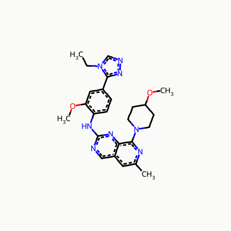 CCn1cnnc1-c1ccc(Nc2ncc3cc(C)nc(N4CCC(OC)CC4)c3n2)c(OC)c1